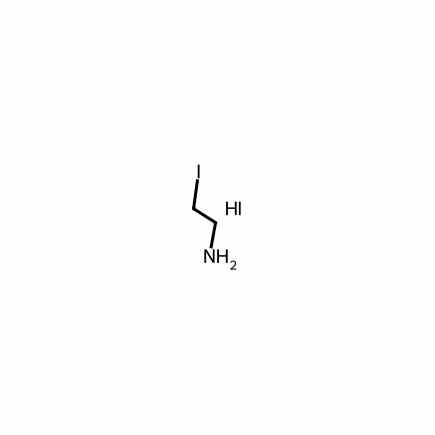 I.NCCI